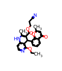 CCOc1nccc2c1C(c1cccc3c(=O)cc(C)oc13)C(C(=O)OCCC#N)=C(C)N2